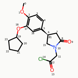 COc1ccc([C@H]2CC(=O)N(CC(=O)Cl)C2)cc1OC1CCCC1